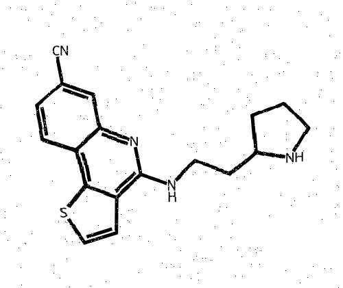 N#Cc1ccc2c(c1)nc(NCCC1CCCN1)c1ccsc12